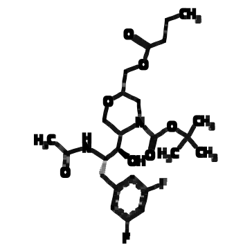 CCCC(=O)OCC1CN(C(=O)OC(C)(C)C)C([C@@H](O)[C@H](Cc2cc(F)cc(F)c2)NC(C)=O)CO1